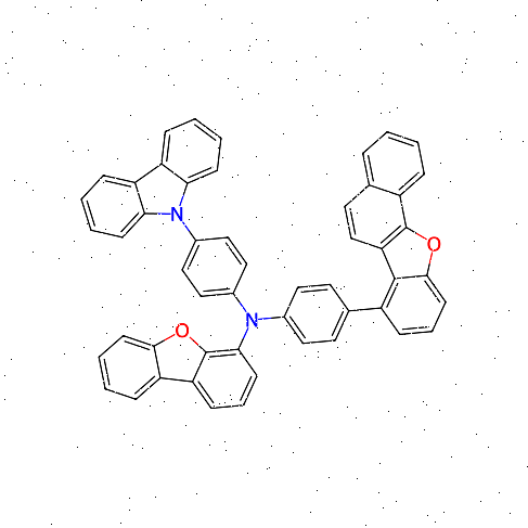 c1ccc2c(c1)ccc1c2oc2cccc(-c3ccc(N(c4ccc(-n5c6ccccc6c6ccccc65)cc4)c4cccc5c4oc4ccccc45)cc3)c21